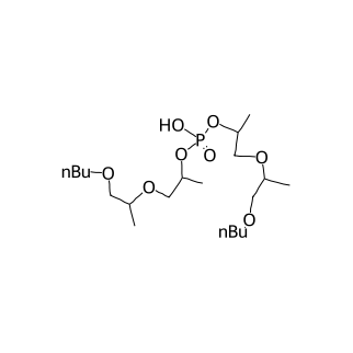 CCCCOCC(C)OCC(C)OP(=O)(O)OC(C)COC(C)COCCCC